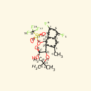 Cc1cc2c(F)cc(F)cc2c(OS(=O)(=O)C(F)(F)F)c1C(OC(C)(C)C)C(=O)O